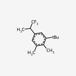 Cc1cc(C(C)C(F)(F)F)cc(C(C)(C)C)c1C